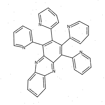 c1ccc(-c2c(-c3ccccn3)c(-c3ccccn3)c3nc4ccccc4nc3c2-c2ccccn2)nc1